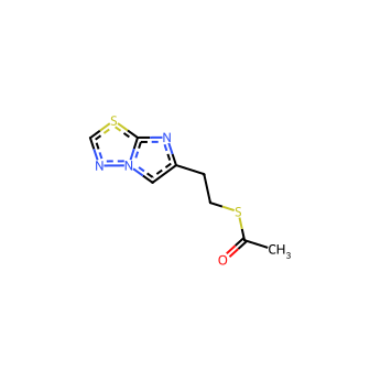 CC(=O)SCCc1cn2ncsc2n1